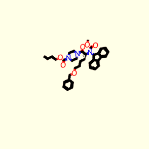 CCCCOC(=O)N1CCN(C(=O)[C@H](CCCCOCc2ccccc2)N(C(=O)OC)C2c3ccccc3-c3ccccc32)CC1